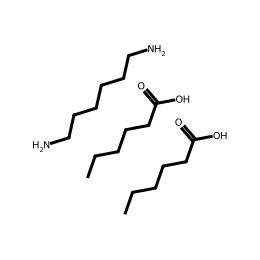 CCCCCC(=O)O.CCCCCC(=O)O.NCCCCCCN